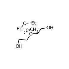 C=C.CCOCC.OCCOCCO